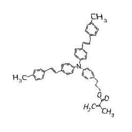 C=C(C)C(=O)OCCCc1ccc(N(c2ccc(C=Cc3ccc(C)cc3)cc2)c2ccc(C=Cc3ccc(C)cc3)cc2)cc1